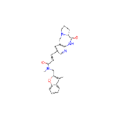 Cc1c(CN(C)C(=O)/C=C/c2cnc3c(c2)CN2CCCC2C(=O)N3)oc2ccccc12